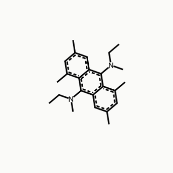 CCN(C)c1c2cc(C)cc(C)c2c(N(C)CC)c2cc(C)cc(C)c12